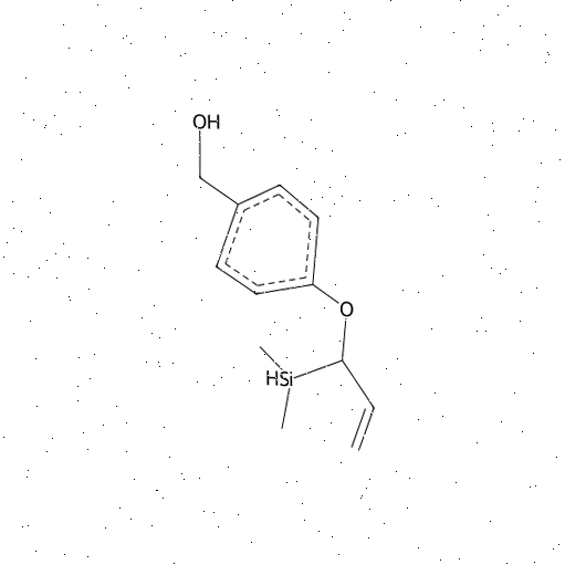 C=CC(Oc1ccc(CO)cc1)[SiH](C)C